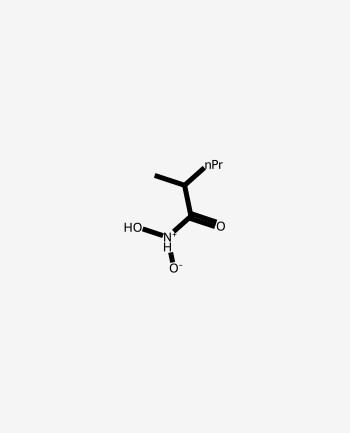 CCCC(C)C(=O)[NH+]([O-])O